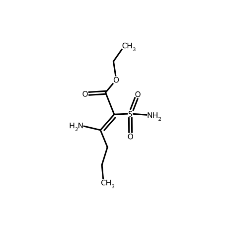 CCCC(N)=C(C(=O)OCC)S(N)(=O)=O